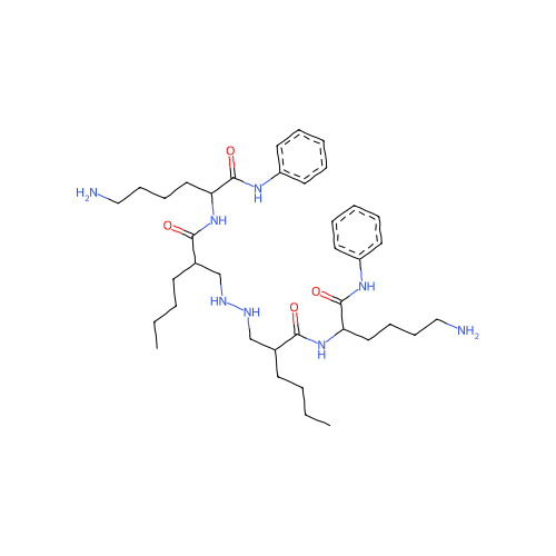 CCCCC(CNNCC(CCCC)C(=O)NC(CCCCN)C(=O)Nc1ccccc1)C(=O)NC(CCCCN)C(=O)Nc1ccccc1